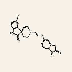 CC(C)N1C(=O)Cc2cc(OCCN3CCC4(CC3)C(=O)Nc3ccc(Cl)cc34)ccc21